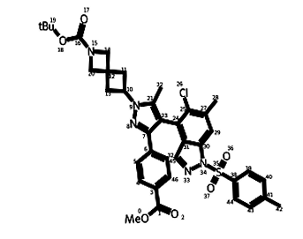 COC(=O)c1ccc(-c2nn(C3CC4(C3)CN(C(=O)OC(C)(C)C)C4)c(C)c2-c2c(Cl)c(C)cc3c2cnn3S(=O)(=O)c2ccc(C)cc2)cc1